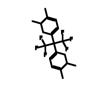 CC1=CC=C(C(C2=CC=C(C)C(C)C2)(C(F)(F)F)C(F)(F)F)CC1C